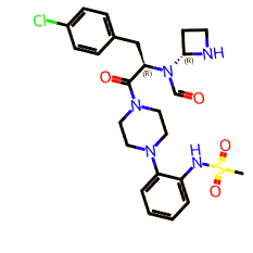 CS(=O)(=O)Nc1ccccc1N1CCN(C(=O)[C@@H](Cc2ccc(Cl)cc2)N(C=O)[C@@H]2CCN2)CC1